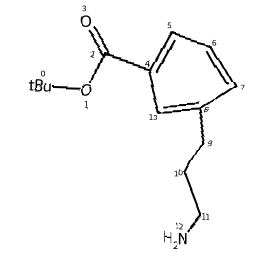 CC(C)(C)OC(=O)c1cccc(CCCN)c1